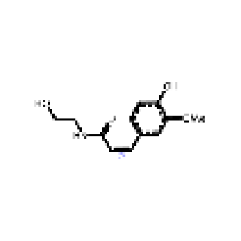 COc1cc(/C=C\C(=O)NCCO)ccc1O